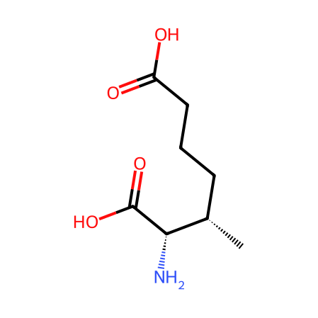 C[C@@H](CCCC(=O)O)[C@H](N)C(=O)O